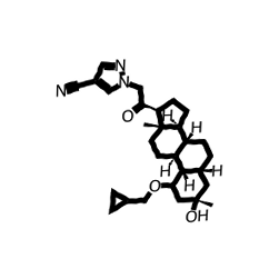 C[C@@]1(O)CC(OCC2CC2)[C@H]2[C@H](CC[C@@H]3[C@@H]2CC[C@]2(C)[C@@H](C(=O)Cn4cc(C#N)cn4)CC[C@@H]32)C1